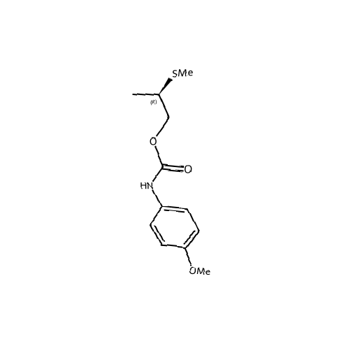 COc1ccc(NC(=O)OC[C@@H](C)SC)cc1